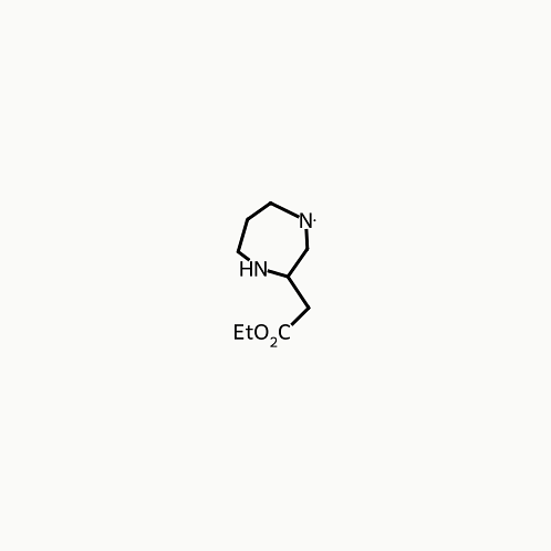 CCOC(=O)CC1C[N]CCCN1